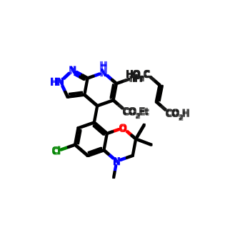 CCCC1=C(C(=O)OCC)C(c2cc(Cl)cc3c2OC(C)(C)CN3C)c2c[nH]nc2N1.O=C(O)C=CC(=O)O